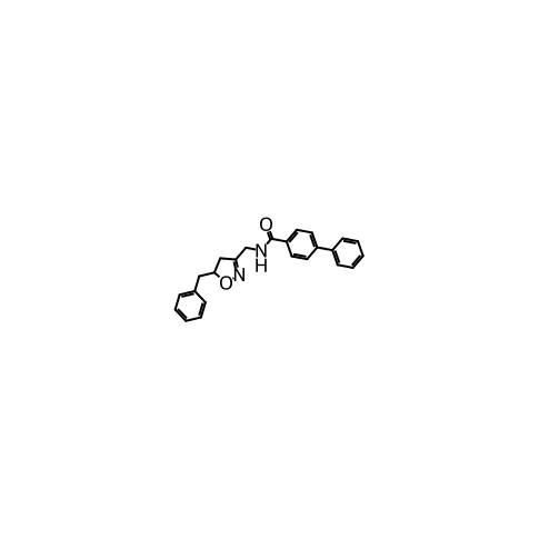 O=C(NCC1=NOC(Cc2ccccc2)C1)c1ccc(-c2ccccc2)cc1